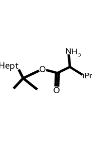 CCCCCCCC(C)(C)OC(=O)C(N)C(C)C